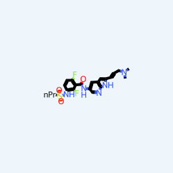 CCCS(=O)(=O)Nc1ccc(F)c(C(=O)Nc2cnc3[nH]c(C#CCN(C)C)cc3c2)c1F